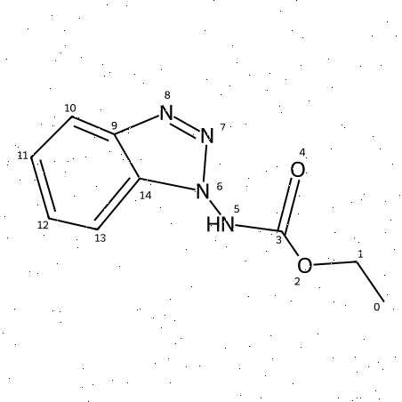 CCOC(=O)Nn1nnc2ccccc21